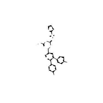 CC(C)(C)OC(=O)N/C(=N\S(=O)(=O)c1cccs1)NCc1cnc(-c2ccc(Cl)cc2)c(-c2ccc(Cl)cc2)c1